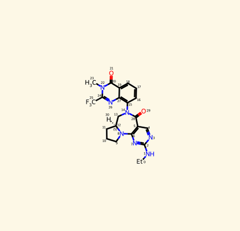 CCNc1ncc2c(n1)N1CCC[C@H]1CN(c1cccc3c(=O)n(C)c(C(F)(F)F)nc13)C2=O